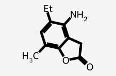 CCc1cc(C)c2c(c1N)CC(=O)O2